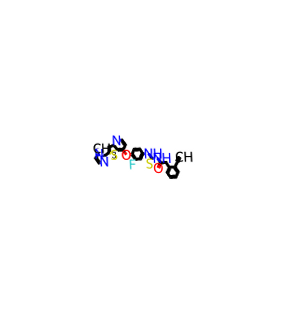 C#Cc1ccccc1CC(=O)NC(=S)Nc1ccc(Oc2ccnc3cc(-c4nccn4C)sc23)c(F)c1